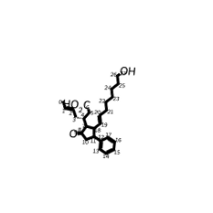 CC=CC[C@H](CC(=O)O)C1C(=O)CC(c2ccccc2)C1C=CCCCCCCO